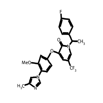 COc1cc(Oc2cc(C(F)(F)F)cn(C(C)c3ccc(F)cc3)c2=O)ccc1-n1cnc(C)c1